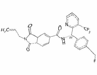 C=CCN1C(=O)C2C=CC(C(=O)N[C@@H](c3ccc(CF)cc3)c3ncccc3C(F)(F)F)=CC2C1=O